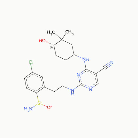 CC1(C)CC(Nc2nc(NCCc3cc(Cl)ccc3[S+](N)[O-])ncc2C#N)CC[C@@H]1O